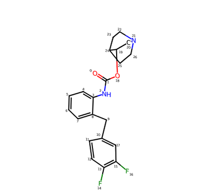 O=C(Nc1ccccc1Cc1ccc(F)c(F)c1)OC1CN2CCC1CC2